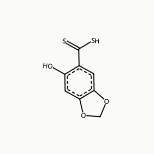 Oc1cc2c(cc1C(=S)S)OCO2